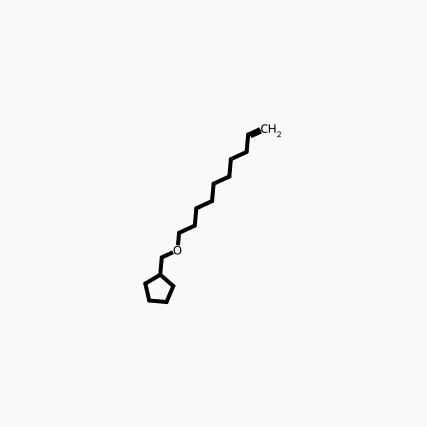 C=CCCCCCCCCOCC1CCCC1